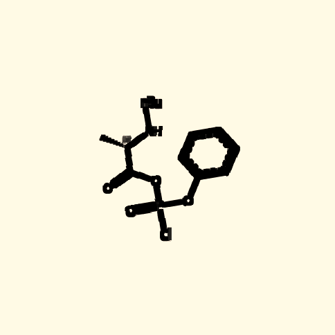 CCCCN[C@@H](C)C(=O)OP(=O)(Cl)Oc1ccccc1